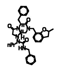 CCCN(C(=O)NCc1ccccc1)N1CC(=O)N2[C@@H](Cc3ccccc3)C(=O)N(Cc3cccc4c3OC(C)C4)C[C@@H]21